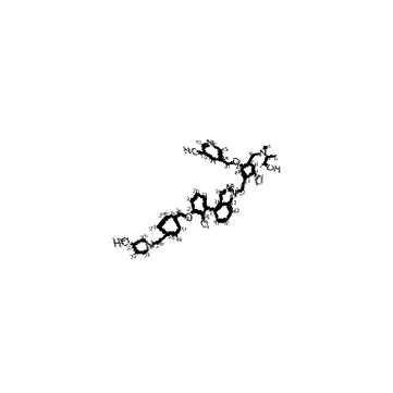 CC(CO)N(C)Cc1cc(Cl)c(Cn2ncc3c(-c4cccc(OCc5ccc(CN6CC[C@@H](O)C6)cc5)c4Cl)cccc32)cc1OCc1cncc(C#N)c1